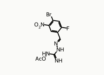 CC(=O)ONC(=N)NN=Cc1cc([N+](=O)[O-])c(Br)cc1F